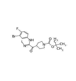 CC(C)(C)OC(=O)N1CCC(C(=O)/C(=N/I)Nc2ccc(F)c(Br)c2)CC1